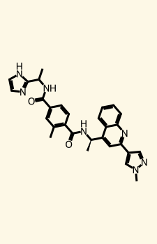 Cc1cc(C(=O)NC(C)c2ncc[nH]2)ccc1C(=O)N[C@H](C)c1cc(-c2cnn(C)c2)nc2ccccc12